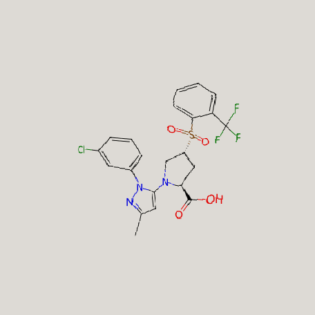 Cc1cc(N2C[C@H](S(=O)(=O)c3ccccc3C(F)(F)F)C[C@H]2C(=O)O)n(-c2cccc(Cl)c2)n1